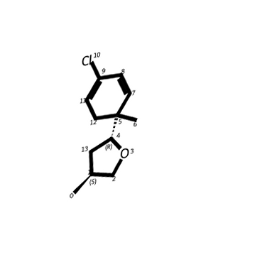 C[C@@H]1CO[C@@H](C2(C)C=CC(Cl)=CC2)C1